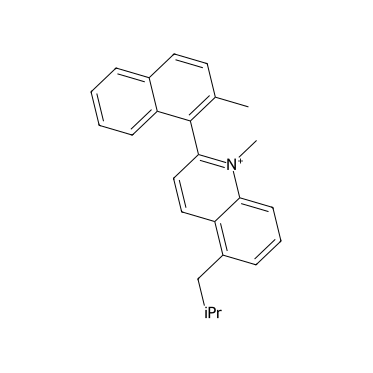 Cc1ccc2ccccc2c1-c1ccc2c(CC(C)C)cccc2[n+]1C